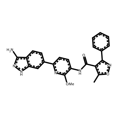 COc1nc(-c2ccc3c(N)n[nH]c3c2)ccc1NC(=O)c1c(-c2ccccc2)noc1C